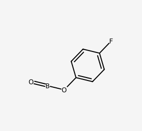 O=BOc1ccc(F)cc1